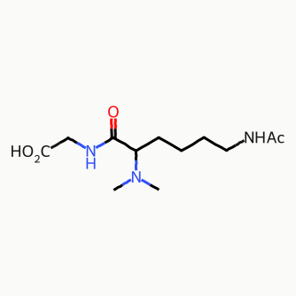 CC(=O)NCCCCC(C(=O)NCC(=O)O)N(C)C